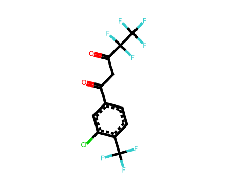 O=C(CC(=O)C(F)(F)C(F)(F)F)c1ccc(C(F)(F)F)c(Cl)c1